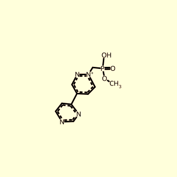 COP(=O)(O)C[n+]1ccc(-c2ccncn2)cn1